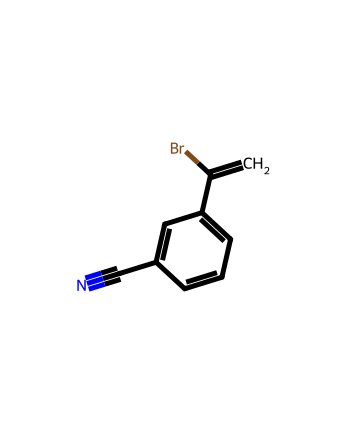 C=C(Br)c1cccc(C#N)c1